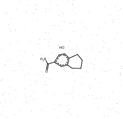 Cl.NC(=O)c1ccc2c(c1)CCCC2